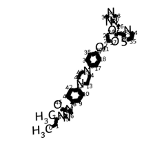 CC[C@@H](C)n1ncn(-c2ccc(N3CCN(c4ccc(OC[C@@H]5CO[C@@](Cn6cncn6)(c6nccs6)O5)cc4)CC3)cc2)c1=O